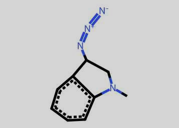 CN1CC(N=[N+]=[N-])c2ccccc21